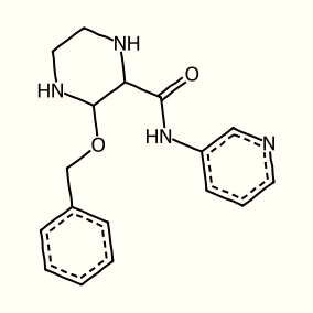 O=C(Nc1cccnc1)C1NCCNC1OCc1ccccc1